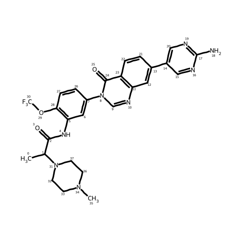 CC(C(=O)Nc1cc(-n2cnc3cc(-c4cnc(N)nc4)ccc3c2=O)ccc1OC(F)(F)F)N1CCN(C)CC1